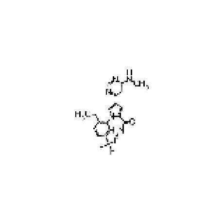 CCc1ccc(C(F)(F)F)cc1-n1cc(-c2cc(NC)ncn2)cc1C(N)=O